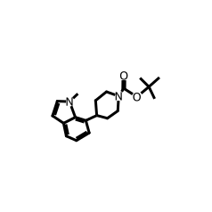 Cn1ccc2cccc(C3CCN(C(=O)OC(C)(C)C)CC3)c21